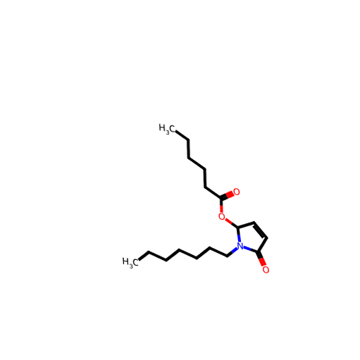 CCCCCCCN1C(=O)C=CC1OC(=O)CCCCC